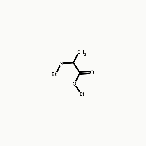 CC[N]C(C)C(=O)OCC